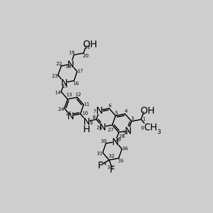 CC(O)c1cc2cnc(Nc3ccc(CN4CCN(CCO)CC4)cn3)nc2c(N2CCC(F)(F)CC2)n1